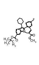 COC(=O)C1=Cc2cc(F)ccc2-c2c(C3CCCCC3)c3ccc(C(=O)OC(C)(C)C)cc3n2C1